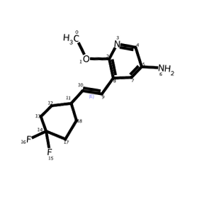 COc1ncc(N)cc1/C=C/C1CCC(F)(F)CC1